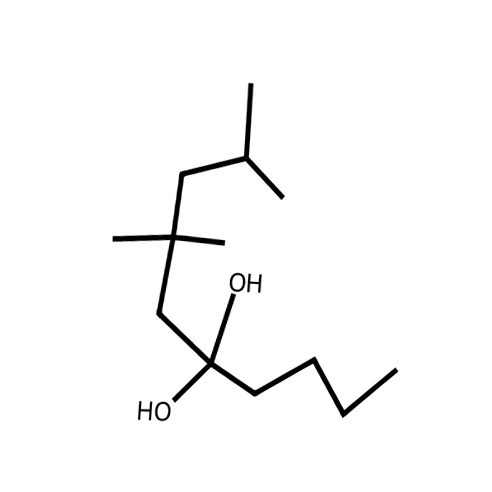 CCCCC(O)(O)CC(C)(C)CC(C)C